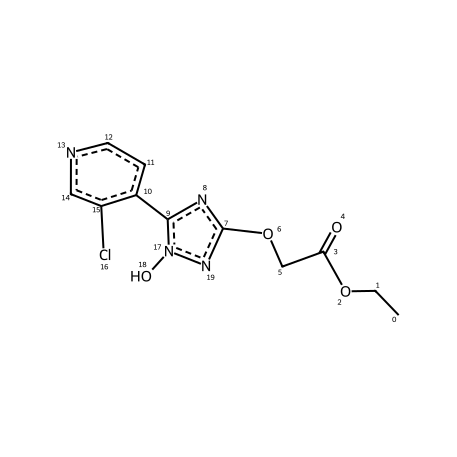 CCOC(=O)COc1nc(-c2ccncc2Cl)n(O)n1